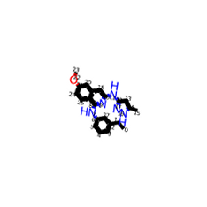 CCc1cccc(Nc2nc(Nc3cc(C)[nH]n3)cc3cc(OC)ccc23)c1